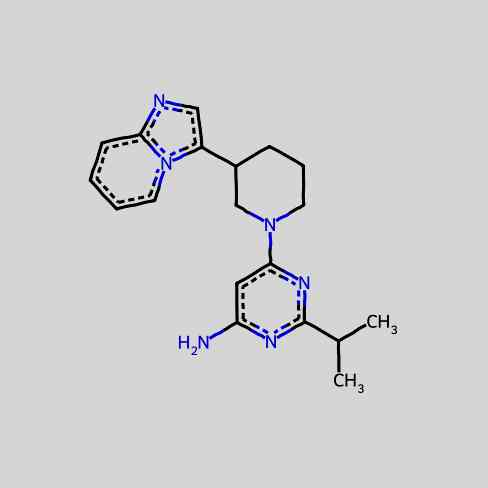 CC(C)c1nc(N)cc(N2CCCC(c3cnc4ccccn34)C2)n1